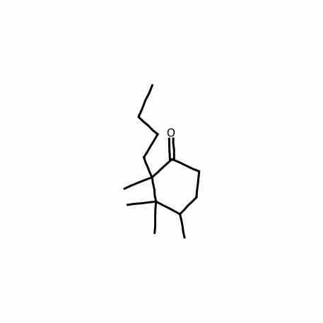 CCCCC1(C)C(=O)CCC(C)C1(C)C